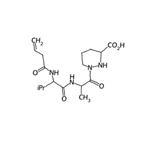 C=CCC(=O)NC(C(=O)NC(C)C(=O)N1CCCC(C(=O)O)N1)C(C)C